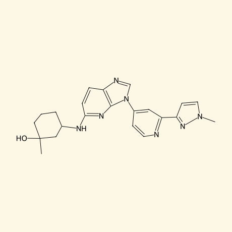 Cn1ccc(-c2cc(-n3cnc4ccc(NC5CCCC(C)(O)C5)nc43)ccn2)n1